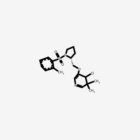 Cc1ccccc1S(=O)(=O)N1CCC[C@@H]1COC1=CN=CC(C)(C)C1Cl